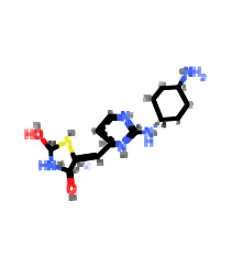 N[C@H]1CC[C@H](Nc2nccc(/C=C3\SC(O)NC3=O)n2)CC1